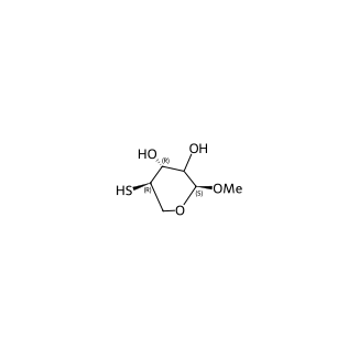 CO[C@H]1OC[C@@H](S)[C@H](O)C1O